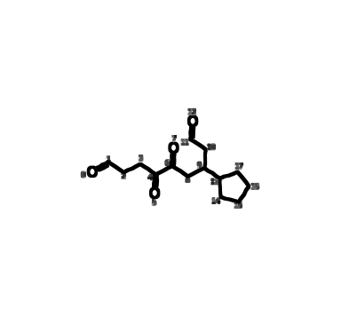 O=CCCC(=O)C(=O)CC(CC=O)C1CCCC1